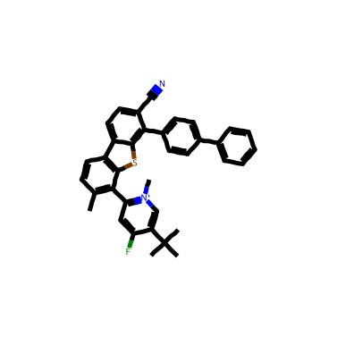 Cc1ccc2c(sc3c(-c4ccc(-c5ccccc5)cc4)c(C#N)ccc32)c1-c1cc(F)c(C(C)(C)C)c[n+]1C